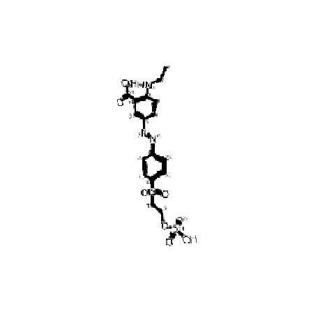 CCNc1ccc(/N=N/c2ccc(S(=O)(=O)CCOS(=O)(=O)O)cc2)cc1C(=O)O